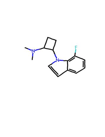 CN(C)C1CCC1n1ccc2cccc(F)c21